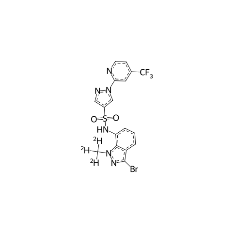 [2H]C([2H])([2H])n1nc(Br)c2cccc(NS(=O)(=O)c3cnn(-c4cc(C(F)(F)F)ccn4)c3)c21